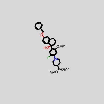 COc1cc(N2CCC(C(OC)OC)CC2)c(F)cc1C1(O)CCCc2cc(OCc3ccccc3)ccc21